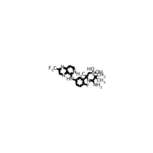 CC1(C)C(N)=N[C@](C)(c2cc(Nc3nccc4nc(C(F)(F)F)cnc34)ccc2F)CS1(O)O